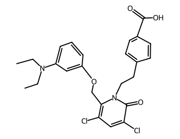 CCN(CC)c1cccc(OCc2c(Cl)cc(Cl)c(=O)n2CCc2ccc(C(=O)O)cc2)c1